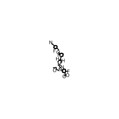 COC(=O)c1cc2c(cc1F)nc(CN1C[C@@H]3C(c4cccc(OCc5ccc(C#N)cc5F)n4)[C@@H]3C1)n2CC1CCO1